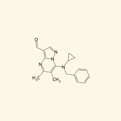 Cc1nc2c(C=O)cnn2c(N(Cc2ccccc2)C2CC2)c1C